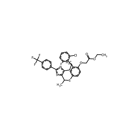 CCOC(=O)COc1ccc(SC(C)c2sc(-c3ccc(C(F)(F)F)cc3)nc2CCc2c(F)cccc2Cl)cc1C